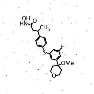 COC1(c2cc(F)cc(Sc3ccc(C(C)CC(=O)NO)cc3)c2)CCOCC1